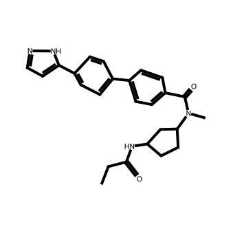 CCC(=O)NC1CCC(N(C)C(=O)c2ccc(-c3ccc(-c4ccn[nH]4)cc3)cc2)C1